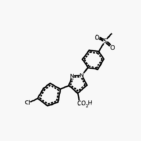 CS(=O)(=O)c1ccc(-n2cc(C(=O)O)c(-c3ccc(Cl)cc3)n2)cc1